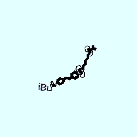 C=C(C)C(=O)OCCCCCCS(=O)(=O)c1ccc(C=Cc2ccc(N(C)C[C@H](C)CC)cc2)cc1